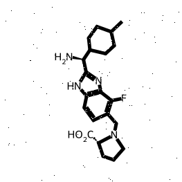 CC1CCC([C@H](N)c2nc3c(F)c(CN4CCC[C@@H]4C(=O)O)ccc3[nH]2)CC1